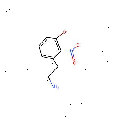 NCCc1cccc(Br)c1[N+](=O)[O-]